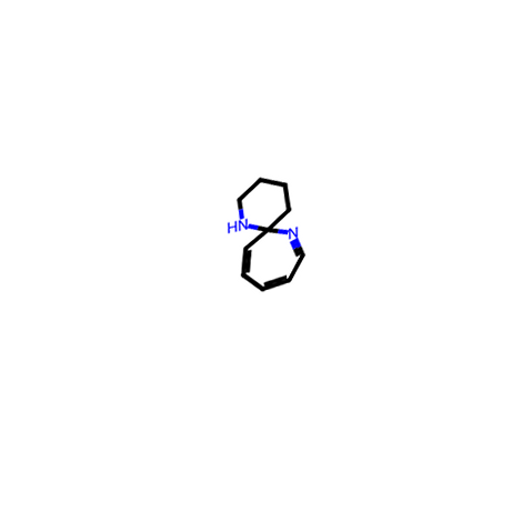 C1=CC=NC2(C=C1)CCCCN2